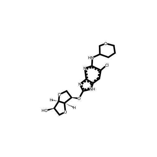 O[C@@H]1CO[C@H]2[C@@H]1OC[C@H]2Oc1nc2nc(NC3CCCOC3)c(Cl)cc2[nH]1